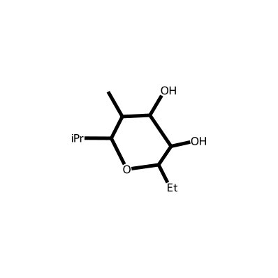 CCC1OC(C(C)C)C(C)C(O)C1O